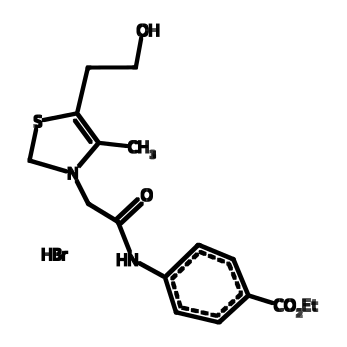 Br.CCOC(=O)c1ccc(NC(=O)CN2CSC(CCO)=C2C)cc1